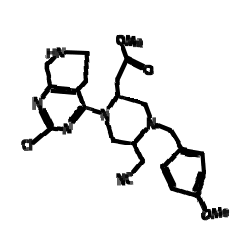 COC(=O)CC1CN(Cc2ccc(OC)cc2)C(CC#N)CN1c1nc(Cl)nc2c1CCNC2